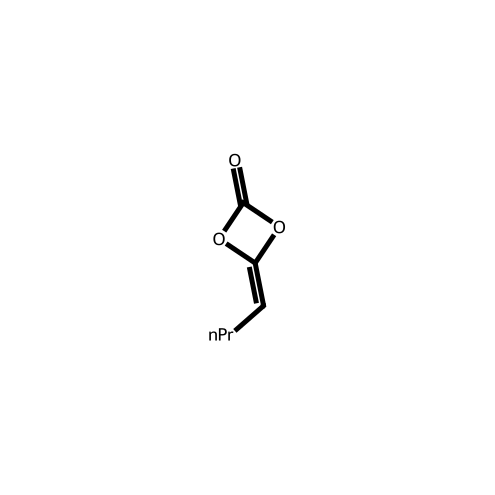 CCCC=C1OC(=O)O1